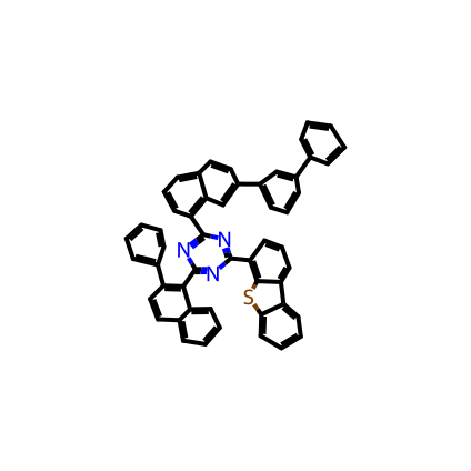 c1ccc(-c2cccc(-c3ccc4cccc(-c5nc(-c6c(-c7ccccc7)ccc7ccccc67)nc(-c6cccc7c6sc6ccccc67)n5)c4c3)c2)cc1